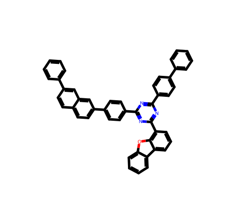 c1ccc(-c2ccc(-c3nc(-c4ccc(-c5ccc6ccc(-c7ccccc7)cc6c5)cc4)nc(-c4cccc5c4oc4ccccc45)n3)cc2)cc1